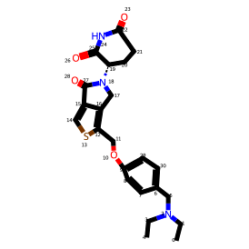 CCN(CC)Cc1ccc(OCc2scc3c2CN([C@H]2CCC(=O)NC2=O)C3=O)cc1